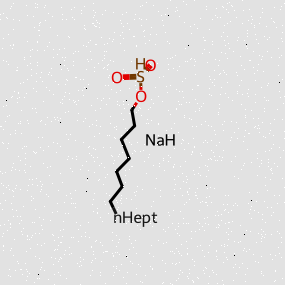 CCCCCCCCCCCCCCO[SH](=O)=O.[NaH]